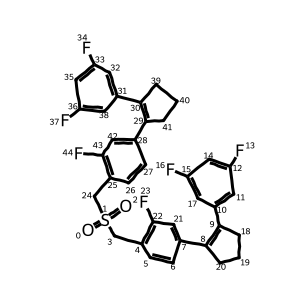 O=S(=O)(Cc1ccc(C2=C(c3cc(F)cc(F)c3)CCC2)cc1F)Cc1ccc(C2=C(c3cc(F)cc(F)c3)CCC2)cc1F